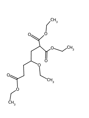 CCOC(=O)CCC(CC(C(=O)OCC)C(=O)OCC)OCC